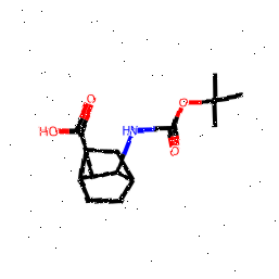 CC(C)(C)OC(=O)NC1C2CCC(CC2)C1C(=O)O